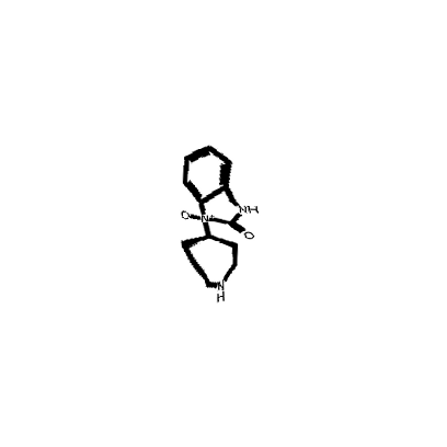 O=C1Nc2ccccc2[N+]1([O-])C1CCNCC1